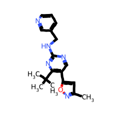 Cc1cc(-c2cnc(NCc3cccnc3)nc2C(C)(C)C)on1